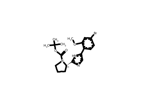 COc1cc(Br)ccc1-c1cnc([C@@H]2CCCN2C(=O)OC(C)(C)C)[nH]1